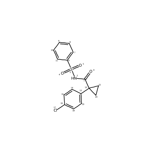 O=C(NS(=O)(=O)c1ccccc1)C1(c2ccc(Cl)cc2)CC1